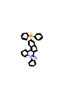 S=P(c1ccccc1)(c1ccccc1)c1ccc2c(ccc3c2c2ccccc2n2c4ccccc4nc32)c1